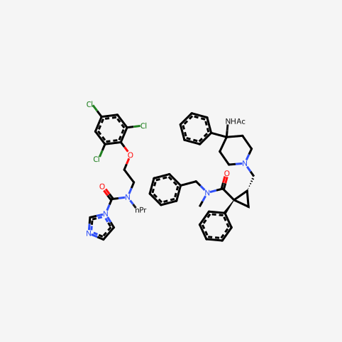 CC(=O)NC1(c2ccccc2)CCN(C[C@@H]2C[C@@]2(C(=O)N(C)Cc2ccccc2)c2ccccc2)CC1.CCCN(CCOc1c(Cl)cc(Cl)cc1Cl)C(=O)n1ccnc1